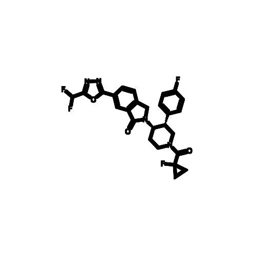 O=C1c2cc(-c3nnc(C(F)F)o3)ccc2CN1[C@@H]1CCN(C(=O)C2(F)CC2)C[C@H]1c1ccc(F)cc1